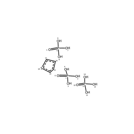 O=P(O)(O)O.O=P(O)(O)O.O=P(O)(O)O.c1ccsc1